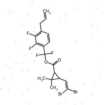 C=CCc1ccc(C(F)(F)OC(=O)C2C(C=C(Br)Br)C2(C)C)c(F)c1F